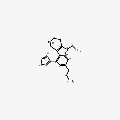 CCCc1cc(-c2cscn2)c2c3c(n(CC)c2n1)CCNC3